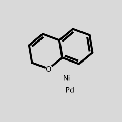 C1=Cc2ccccc2OC1.[Ni].[Pd]